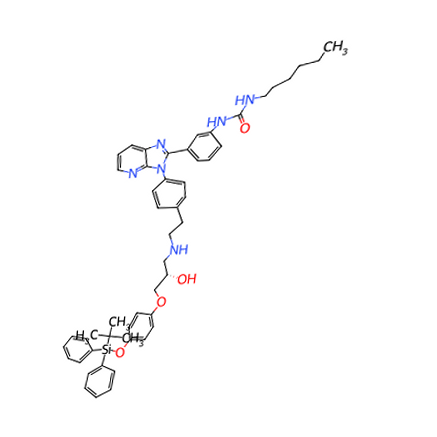 CCCCCCNC(=O)Nc1cccc(-c2nc3cccnc3n2-c2ccc(CCNC[C@H](O)COc3ccc(O[Si](c4ccccc4)(c4ccccc4)C(C)(C)C)cc3)cc2)c1